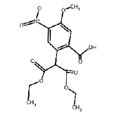 CCOC(=O)C(C(=O)OCC)c1cc([N+](=O)[O-])c(OC)cc1C(=O)O